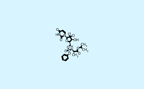 CC(C)OC(=O)[C@H](C)NP(=O)(OC[C@H]1O[C@@H](n2ccc(=O)[nH]c2=O)C(Cl)(Cl)[C@H]1O)Oc1ccccc1